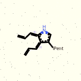 C=C/C=c1/c(C(C)CCC)c[nH]/c1=C/C=C